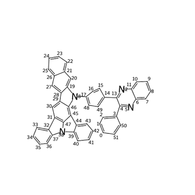 c1ccc(-c2nc3ccccc3nc2-c2ccc(-n3c4cc5ccccc5cc4c4cc5c6ccccc6n6c7ccccc7c(c43)c56)cc2)cc1